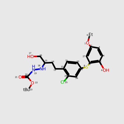 CCOc1ccc(O)c(Sc2ccc(CCC(CO)NNC(=O)OC(C)(C)C)c(Cl)c2)c1